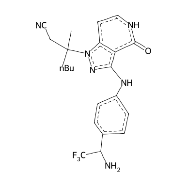 CCCCC(C)(CC#N)n1nc(Nc2ccc(C(N)C(F)(F)F)cc2)c2c(=O)[nH]ccc21